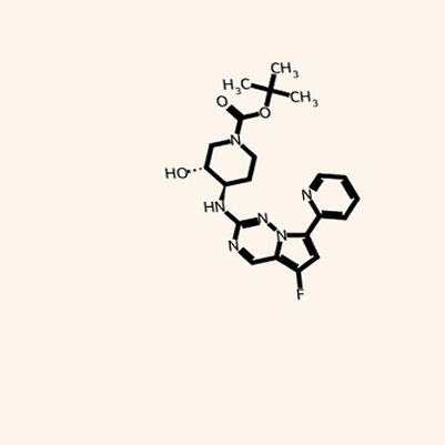 CC(C)(C)OC(=O)N1CC[C@@H](Nc2ncc3c(F)cc(-c4ccccn4)n3n2)[C@H](O)C1